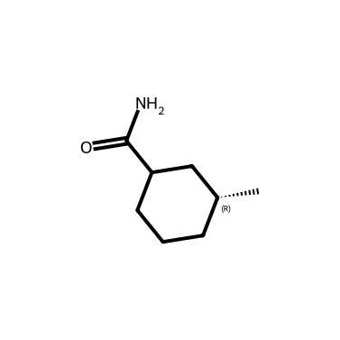 C[C@@H]1CCCC(C(N)=O)C1